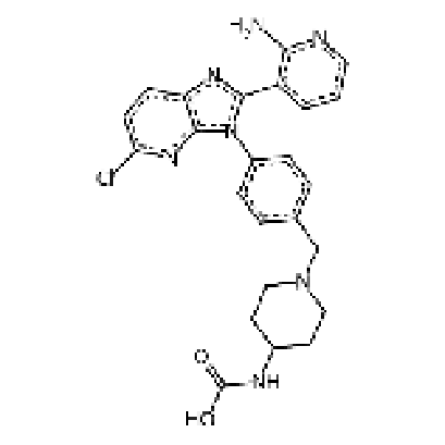 Nc1ncccc1-c1nc2ccc(Cl)nc2n1-c1ccc(CN2CCC(NC(=O)O)CC2)cc1